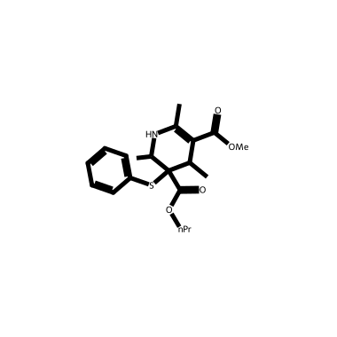 CCCOC(=O)C1(Sc2ccccc2)C(C)NC(C)=C(C(=O)OC)C1C